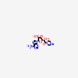 CN1CCN(C(=O)C(O)[C@H]2O[C@@H](n3cnc4c(N)ncnc43)[C@H](O)[C@@H]2O)CC1